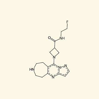 O=C(NCCF)C1CN(c2c3c(nc4ccnn24)CCNCC3)C1